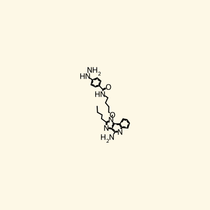 CCCCc1nc2c(N)nc3ccccc3c2n1OCCCCNC(=O)c1ccc(NN)cc1